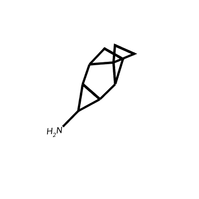 NC1C2C1C1CCC2C12CC2